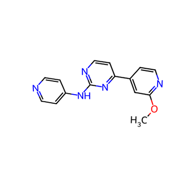 COc1cc(-c2ccnc(Nc3ccncc3)n2)ccn1